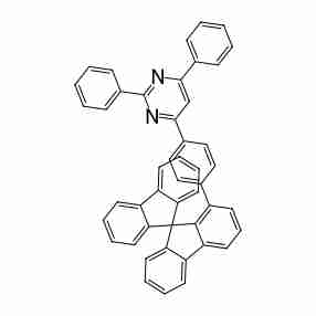 c1ccc(-c2cc(-c3ccc(-c4cccc5c4C4(c6ccccc6-c6ccccc64)c4ccccc4-5)cc3)nc(-c3ccccc3)n2)cc1